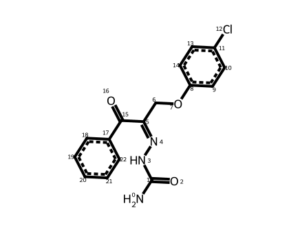 NC(=O)NN=C(COc1ccc(Cl)cc1)C(=O)c1ccccc1